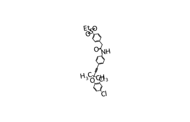 CCS(=O)(=O)c1ccc(CC(=O)Nc2ccc(C#CC(C)(C)Oc3ccc(Cl)cc3Cl)cc2)cc1